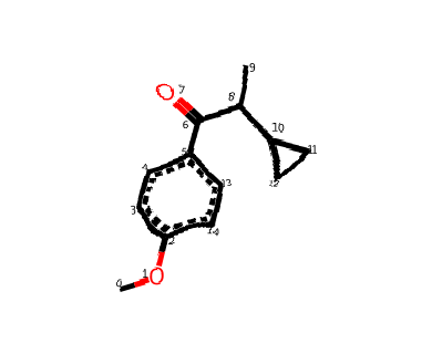 COc1ccc(C(=O)C(C)C2CC2)cc1